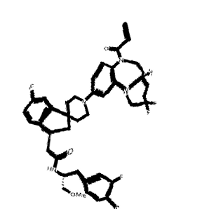 C=CC(=O)N1C[C@@H]2CC(F)(F)CN2c2cc(N3CCC4(CC3)C[C@@H](CC(=O)N[C@@H](COC)Cc3ccc(F)c(F)c3)c3ccc(F)cc34)ccc21